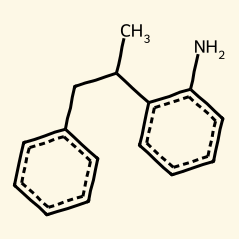 CC(Cc1ccccc1)c1ccccc1N